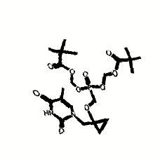 Cc1cn(CC2(OCP(=O)(OCOC(=O)C(C)(C)C)OCOC(=O)C(C)(C)C)CC2)c(=O)[nH]c1=O